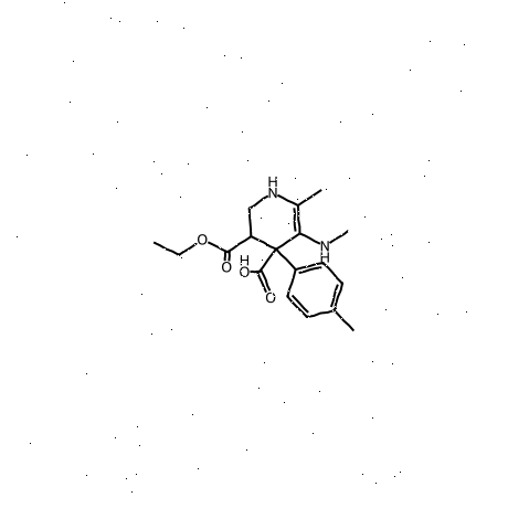 CCOC(=O)C1CNC(C)=C(NC)C1(C(=O)O)c1ccc(C)cc1